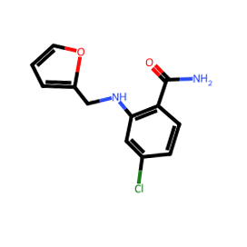 NC(=O)c1ccc(Cl)cc1NCc1ccco1